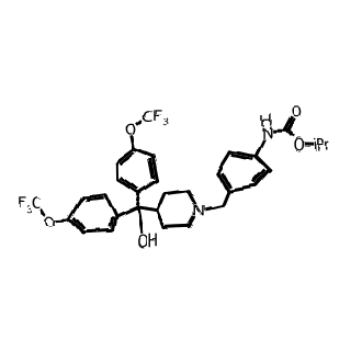 CC(C)OC(=O)Nc1ccc(CN2CCC(C(O)(c3ccc(OC(F)(F)F)cc3)c3ccc(OC(F)(F)F)cc3)CC2)cc1